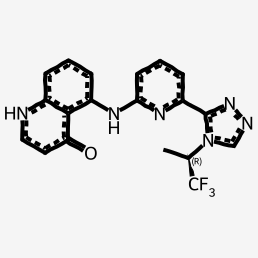 C[C@@H](n1cnnc1-c1cccc(Nc2cccc3[nH]ccc(=O)c23)n1)C(F)(F)F